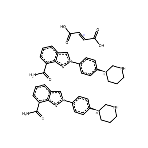 NC(=O)c1cccc2cn(-c3ccc([C@@H]4CCCNC4)cc3)nc12.NC(=O)c1cccc2cn(-c3ccc([C@@H]4CCCNC4)cc3)nc12.O=C(O)/C=C/C(=O)O